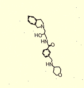 O=C(NCC(O)CN1CCc2ccccc2C1)c1cccc(CNC2CCOCC2)c1